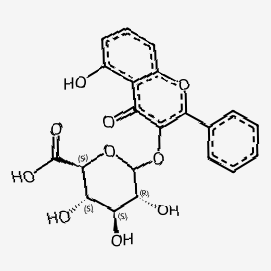 O=C(O)[C@H]1OC(Oc2c(-c3ccccc3)oc3cccc(O)c3c2=O)[C@H](O)[C@@H](O)[C@@H]1O